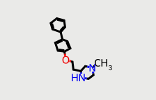 CN1CCNC(CCOc2ccc(-c3ccccc3)cc2)C1